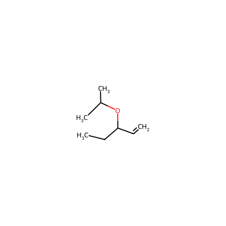 C=CC(CC)OC(C)C